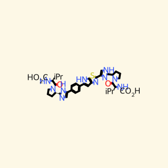 CC(C)[C@H](NC(=O)O)C(=O)N1CCCC1c1nc(-c2nc3cc(-c4ccc(-c5cnc([C@@H]6CCCN6C(=O)[C@@H](NC(=O)O)C(C)C)[nH]5)cc4)[nH]c3s2)c[nH]1